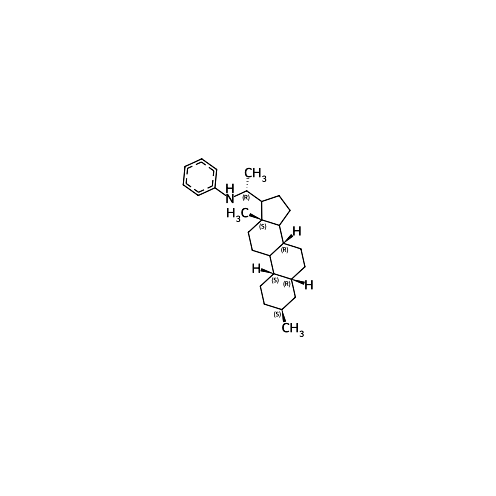 C[C@H]1CC[C@@H]2C3CC[C@@]4(C)C(CCC4[C@@H](C)Nc4ccccc4)[C@@H]3CC[C@@H]2C1